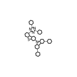 c1ccc(-c2ccc3c(c2)c2cc(-c4ccccc4)ccc2n3-c2ccc3c(c2)sc2cccc(-c4nc(-c5ccccc5)nc(-c5ccccc5)n4)c23)cc1